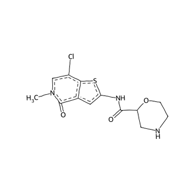 Cn1cc(Cl)c2sc(NC(=O)C3CNCCO3)cc2c1=O